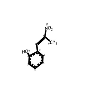 CC(=Cc1ccccc1O)[N+](=O)[O-]